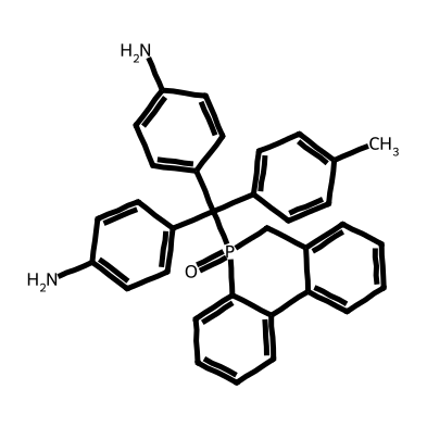 Cc1ccc(C(c2ccc(N)cc2)(c2ccc(N)cc2)P2(=O)Cc3ccccc3-c3ccccc32)cc1